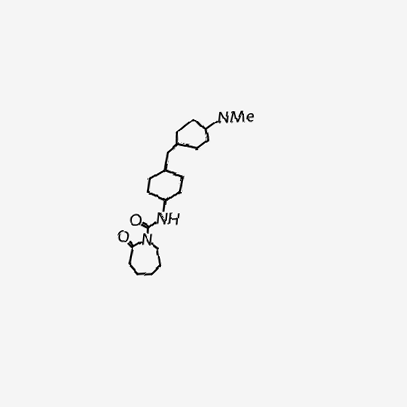 CNC1CCC(CC2CCC(NC(=O)N3CCCCCC3=O)CC2)CC1